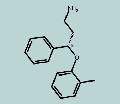 Cc1ccccc1O[C@@H](CCN)c1ccccc1